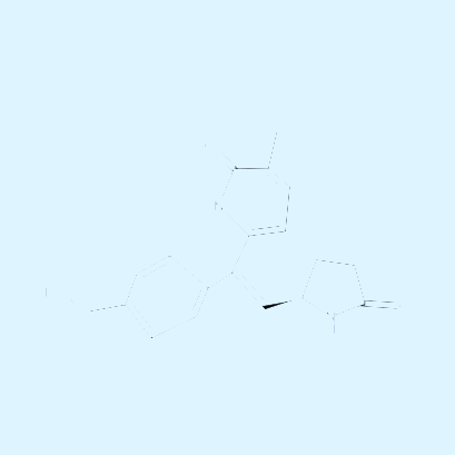 O=C1CC[C@H](C=C(c2ccc(OC(F)(F)F)cc2)c2ccc(Cl)c(=O)[nH]2)N1